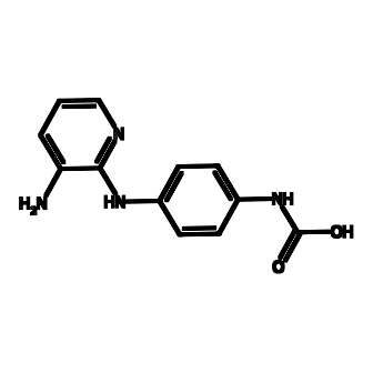 Nc1cccnc1Nc1ccc(NC(=O)O)cc1